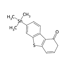 [CH3][Sn]([CH3])([CH3])[c]1ccc2c3c(sc2c1)C=CCC3=O